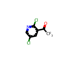 O=C(c1cc(Cl)cnc1Cl)C(F)(F)F